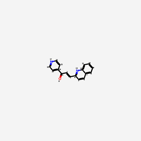 O=C(C=Cc1ccc2ccccc2n1)c1ccncc1